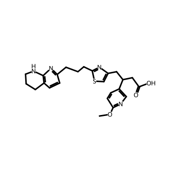 COc1ccc(C(CC(=O)O)Cc2csc(CCCc3ccc4c(n3)NCCC4)n2)cn1